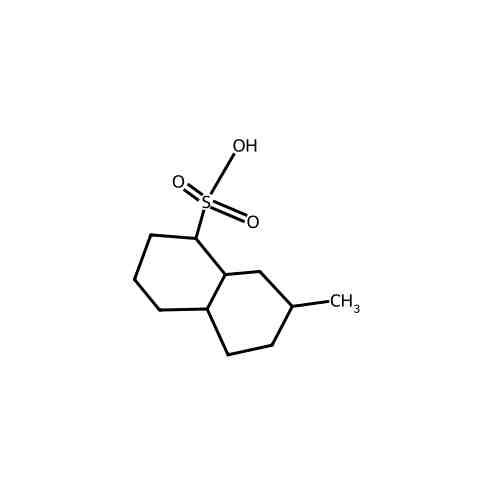 CC1CCC2CCCC(S(=O)(=O)O)C2C1